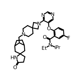 CCN(C(=O)c1cc(F)ccc1Oc1cncnc1N1CC2(CCN(CC3C4CCC3CC3(CCC(=O)N3)C4)CC2)C1)C(C)C